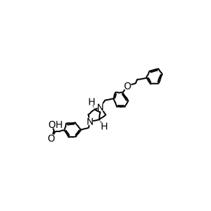 O=C(O)c1ccc(CN2C[C@@H]3C[C@H]2CN3Cc2cccc(OCCc3ccccc3)c2)cc1